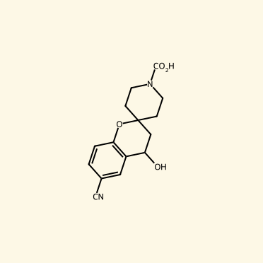 N#Cc1ccc2c(c1)C(O)CC1(CCN(C(=O)O)CC1)O2